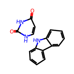 O=c1cc[nH]c(=O)[nH]1.c1ccc2c(c1)[nH]c1ccccc12